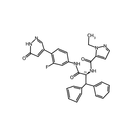 CCn1nccc1C(=O)N[C@H](C(=O)Nc1ccc(-c2cn[nH]c(=O)c2)c(F)c1)C(c1ccccc1)c1ccccc1